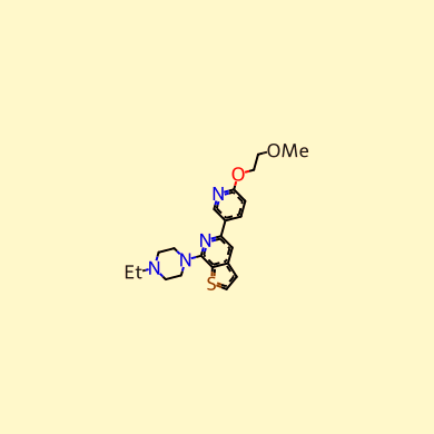 CCN1CCN(c2nc(-c3ccc(OCCOC)nc3)cc3ccsc23)CC1